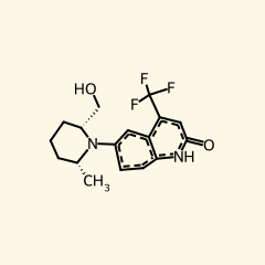 C[C@@H]1CCC[C@H](CO)N1c1ccc2[nH]c(=O)cc(C(F)(F)F)c2c1